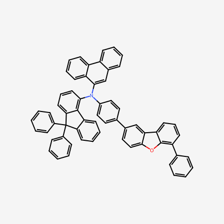 c1ccc(-c2cccc3c2oc2ccc(-c4ccc(N(c5cccc6c5-c5ccccc5C6(c5ccccc5)c5ccccc5)c5cc6ccccc6c6ccccc56)cc4)cc23)cc1